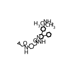 CC(C)(N)c1ccc(-c2cnc(NC(=O)CC3CCC(NC(=O)CC4CC4)CC3)cc2-c2ccccc2)cc1